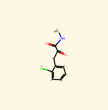 CCCNC(=O)C(=O)Cc1ccccc1Cl